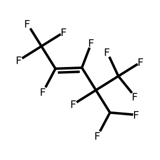 FC(=C(F)C(F)(C(F)F)C(F)(F)F)C(F)(F)F